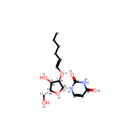 CCCCC=CO[C@@H]1[C@H](O)[C@@H](CO)O[C@H]1n1ccc(=O)[nH]c1=O